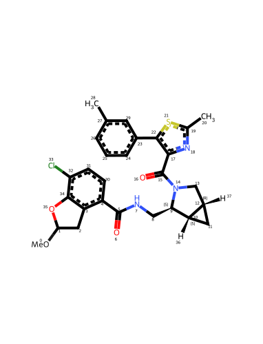 COC1Cc2c(C(=O)NC[C@@H]3[C@H]4C[C@H]4CN3C(=O)c3nc(C)sc3-c3cccc(C)c3)ccc(Cl)c2O1